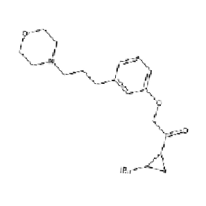 CC(C)(C)C1CC1C(=O)COc1cccc(CCCN2CCOCC2)c1